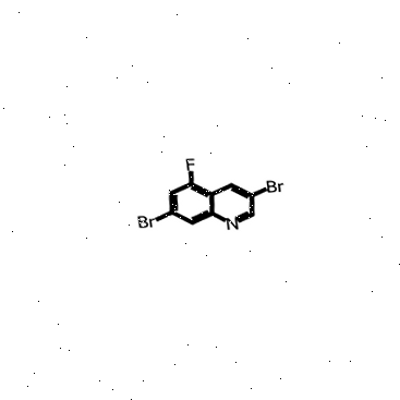 Fc1cc(Br)cc2ncc(Br)cc12